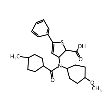 COC1CCC(N(C(=O)C2CCC(C)CC2)C2C=C(c3ccccc3)SC2C(=O)O)CC1